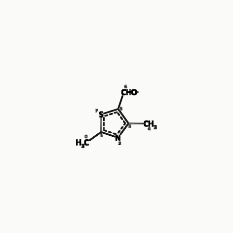 Cc1nc(C)c([C]=O)s1